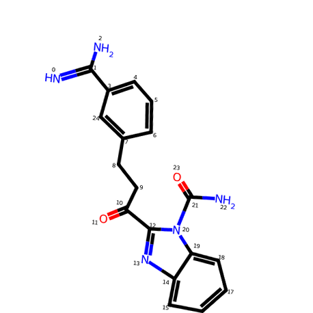 N=C(N)c1cccc(C[CH]C(=O)c2nc3ccccc3n2C(N)=O)c1